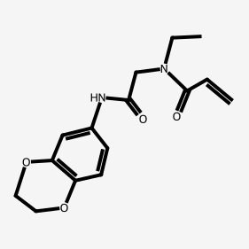 C=CC(=O)N(CC)CC(=O)Nc1ccc2c(c1)OCCO2